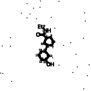 CCNC(=O)c1cccc(-c2cccc(O)c2)c1